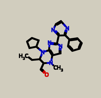 CCC1C(C=O)N(C)c2cnc(-c3nccnc3-c3ccccc3)nc2N1C1CCCC1